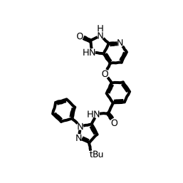 CC(C)(C)c1cc(NC(=O)c2cccc(Oc3ccnc4[nH]c(=O)[nH]c34)c2)n(-c2ccccc2)n1